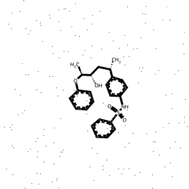 C[C@H](Oc1c[c]ccc1)[C@@H](O)C[C@H](C)c1ccc(NS(=O)(=O)c2ccccc2)cc1